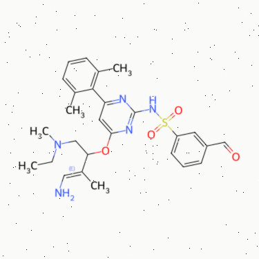 CCN(C)CC(Oc1cc(-c2c(C)cccc2C)nc(NS(=O)(=O)c2cccc(C=O)c2)n1)/C(C)=C/N